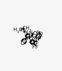 Cc1nc2c(/N=C/N(C)C)cc(N3CCOCC3)nn2c1Nc1cccc(C(F)(F)F)c1CN1CCS(=O)(=O)CC1